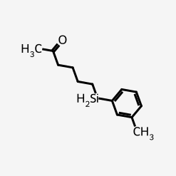 CC(=O)CCCC[SiH2]c1cccc(C)c1